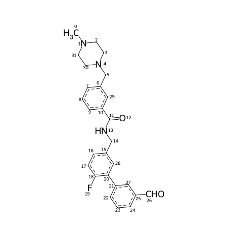 CN1CCN(Cc2cccc(C(=O)NCc3ccc(F)c(-c4cccc(C=O)c4)c3)c2)CC1